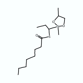 CCCCCCCC(=O)SC(CC)[Si]1(C)OCC(C)O1